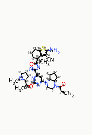 C=CC(=O)N1CCN(c2cc(-c3noc([C@@]4(C)CCCc5sc(N)c(C#N)c54)n3)nc(O[C@@H](C)[C@@H]3CCCN3C)n2)C2CCCC21